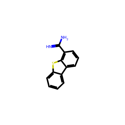 N=C(N)c1cccc2c1sc1ccccc12